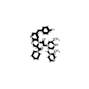 C[C@@H]1CN(CC(=O)N2c3cc(Cc4ccc(F)cc4)cnc3OCC2C(=O)N2CCCCC2)[C@@H](CN2CCOC[C@H]2C)CN1